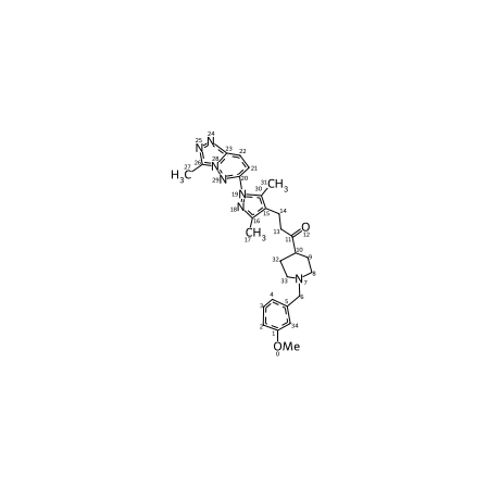 COc1cccc(CN2CCC(C(=O)CCc3c(C)nn(-c4ccc5nnc(C)n5n4)c3C)CC2)c1